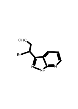 CCC(CC=O)c1n[nH]c2ncccc12